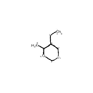 CCC1COCOC1C